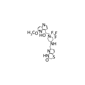 COc1ccc2nccc([C@@H](O)CN3CC[C@H](NCc4ccc5c(n4)NC(=O)CS5)C[C@H]3C(F)(F)F)c2n1